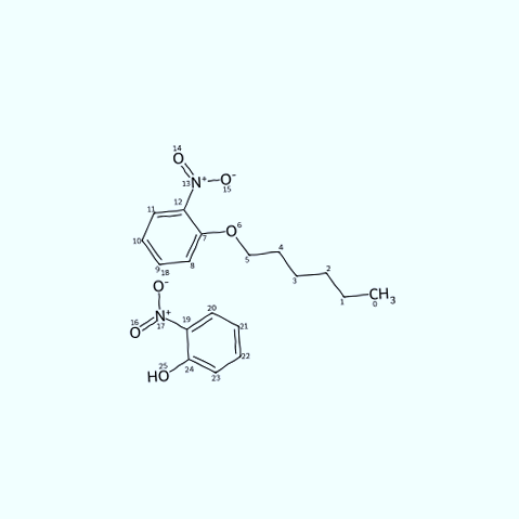 CCCCCCOc1ccccc1[N+](=O)[O-].O=[N+]([O-])c1ccccc1O